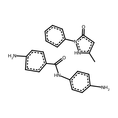 Cc1cc(=O)n(-c2ccccc2)[nH]1.Nc1ccc(NC(=O)c2ccc(N)cc2)cc1